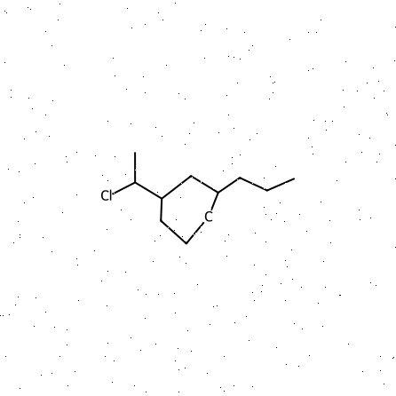 CCCC1CCCC(C(C)Cl)C1